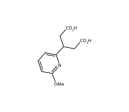 COc1cccc(C(CC(=O)O)CC(=O)O)n1